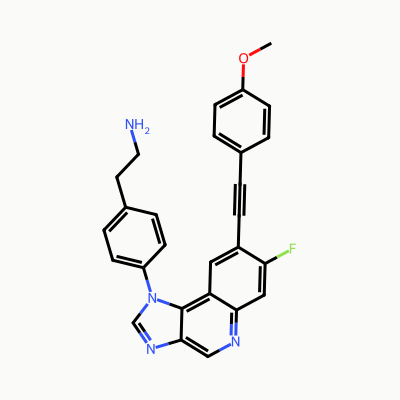 COc1ccc(C#Cc2cc3c(cc2F)ncc2ncn(-c4ccc(CCN)cc4)c23)cc1